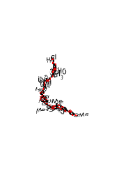 COc1ccc(C2=CN3C(=O)c4cc(OC)c(OCCCOc5cc6c(cc5OC)C(=O)N5C=C(c7ccc(NC(=O)CNC(=O)C(NC(=O)CCCCCN(C)C(=O)C8C9CC(C=C9CCNCl)C8C=O)C(C)C)cc7)CC5C=N6)cc4N=CC3C2)cc1